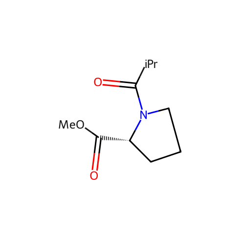 COC(=O)[C@H]1CCCN1C(=O)C(C)C